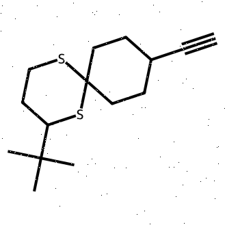 C#CC1CCC2(CC1)SCCC(C(C)(C)C)S2